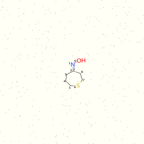 ON=C1CCCSCC1